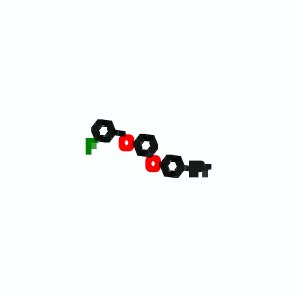 CC(C)c1ccc(Oc2cccc(OCc3cccc(F)c3)c2)cc1